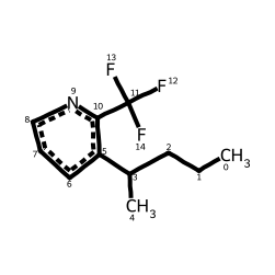 CCCC(C)c1cccnc1C(F)(F)F